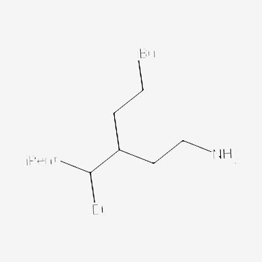 CCCC(C)C(CC)C(CCN)CCC(C)CC